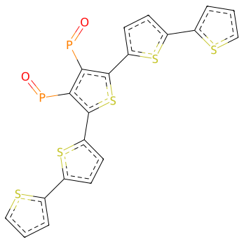 O=Pc1c(-c2ccc(-c3cccs3)s2)sc(-c2ccc(-c3cccs3)s2)c1P=O